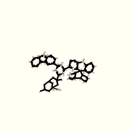 CC1CC2C[C@@H](C1)CC(C)(c1nc(-c3ccc4c(c3)C3(c5ccccc5O4)c4ccccc4C4C=CC=CC43)nc(-c3ccc4sc5ccccc5c4c3)n1)C2